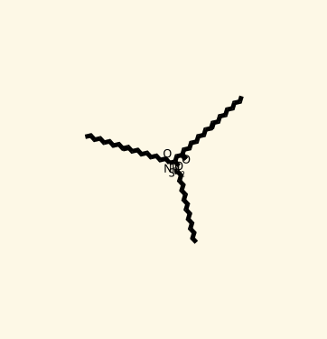 CCCCCCCCC=CCCCCCCCC(=O)CC(OC(=S)CCCCCCCCCCCCCCC)C(N)C(=O)CCCCCCCC=CCCCCCCCC